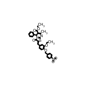 CCOC(=O)C1=C(C)N=c2s/c(=C\c3ccc(OCc4ccc([N+](=O)[O-])cc4)c(OCC)c3)c(=O)n2C1c1ccccc1